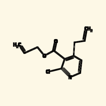 C=CCOC(=O)c1c(CC=C)ccnc1Cl